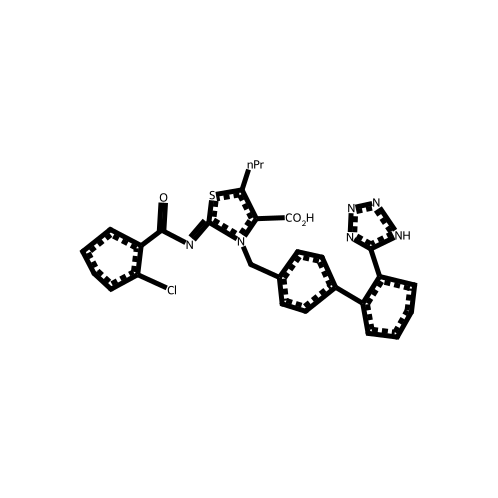 CCCc1sc(=NC(=O)c2ccccc2Cl)n(Cc2ccc(-c3ccccc3-c3nnn[nH]3)cc2)c1C(=O)O